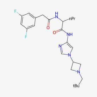 CCCC(NC(=O)Cc1cc(F)cc(F)c1)C(=O)Nc1cn(C2CN(CC(C)(C)C)C2)cn1